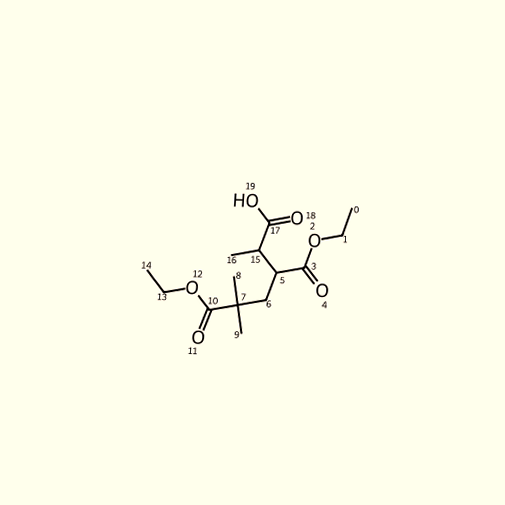 CCOC(=O)C(CC(C)(C)C(=O)OCC)C(C)C(=O)O